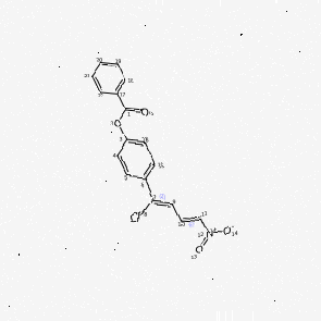 O=C(Oc1ccc(/C(Cl)=C/C=C/[N+](=O)[O-])cc1)c1ccccc1